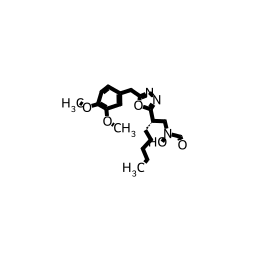 CCCCC[C@@H](CN(O)C=O)c1nnc(Cc2ccc(OC)c(OC)c2)o1